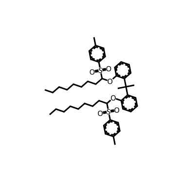 CCCCCCCCC(Oc1ccccc1C(C)(C)c1ccccc1OC(CCCCCCCC)S(=O)(=O)c1ccc(C)cc1)S(=O)(=O)c1ccc(C)cc1